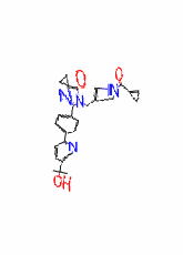 CC(C)(O)c1ccc(-c2ccc(C3=NC4(CC4)C(=O)N3CC3CN(C(=O)C4CC4)C3)cc2)nc1